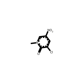 Cn1cc([N+](=O)[O-])cc(Cl)c1=O